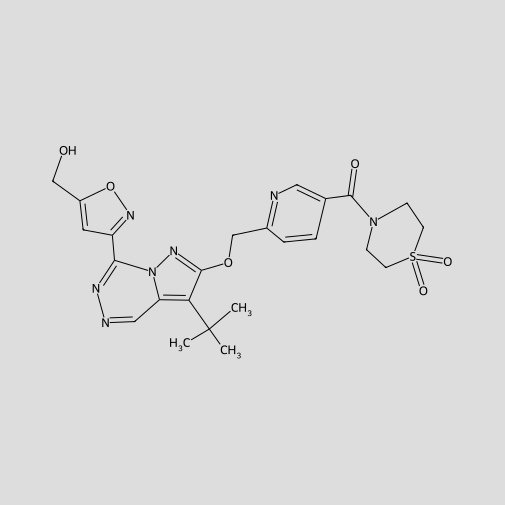 CC(C)(C)c1c(OCc2ccc(C(=O)N3CCS(=O)(=O)CC3)cn2)nn2c(-c3cc(CO)on3)nncc12